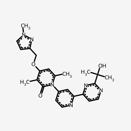 Cc1c(OCc2ccn(C)n2)cc(C)n(-c2ccnc(-c3ccnc(C(C)(C)O)n3)c2)c1=O